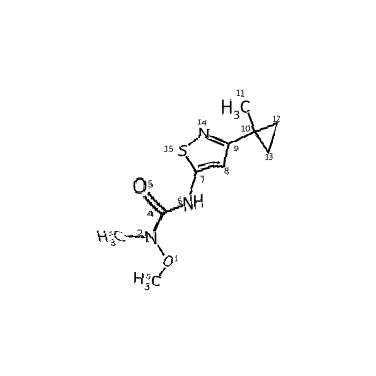 CON(C)C(=O)Nc1cc(C2(C)CC2)ns1